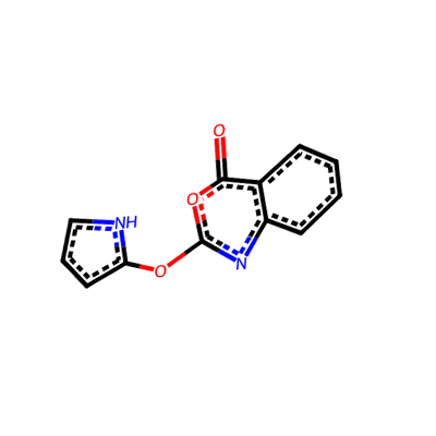 O=c1oc(Oc2ccc[nH]2)nc2ccccc12